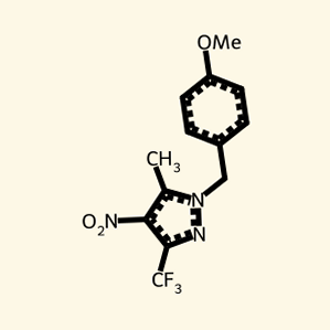 COc1ccc(Cn2nc(C(F)(F)F)c([N+](=O)[O-])c2C)cc1